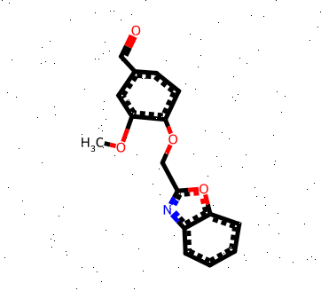 COc1cc(C=O)ccc1OCc1nc2ccccc2o1